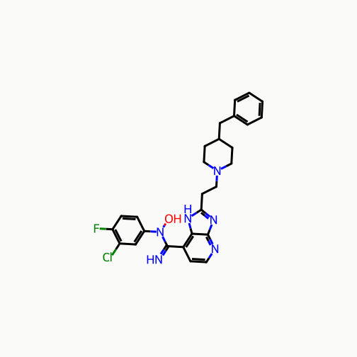 N=C(c1ccnc2nc(CCN3CCC(Cc4ccccc4)CC3)[nH]c12)N(O)c1ccc(F)c(Cl)c1